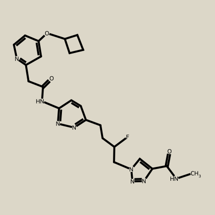 CNC(=O)c1cn(CC(F)CCc2ccc(NC(=O)Cc3cc(OC4CCC4)ccn3)nn2)nn1